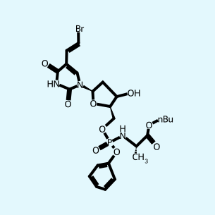 CCCCOC(=O)[C@H](C)NP(=O)(OC[C@H]1O[C@@H](n2cc(/C=C/Br)c(=O)[nH]c2=O)CC1O)Oc1ccccc1